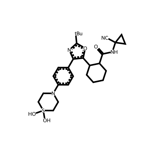 CC(C)(C)c1nc(-c2ccc(N3CCS(O)(O)CC3)cc2)c(C2CCCCC2C(=O)NC2(C#N)CC2)o1